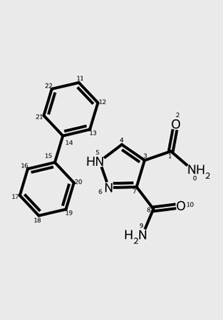 NC(=O)c1c[nH]nc1C(N)=O.c1ccc(-c2ccccc2)cc1